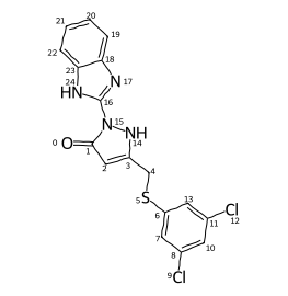 O=c1cc(CSc2cc(Cl)cc(Cl)c2)[nH]n1-c1nc2ccccc2[nH]1